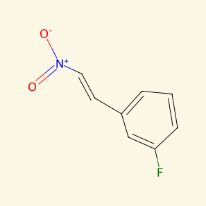 O=[N+]([O-])C=Cc1cccc(F)c1